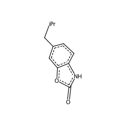 CC(C)Cc1ccc2[nH]c(=O)oc2c1